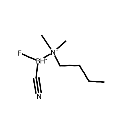 CCCC[N+](C)(C)[BH-](F)C#N